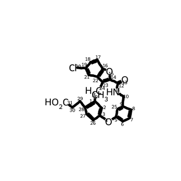 Cc1cc(Oc2cccc(CNC(=O)c3oc4ccc(Cl)cc4c3C)c2)ccc1CCC(=O)O